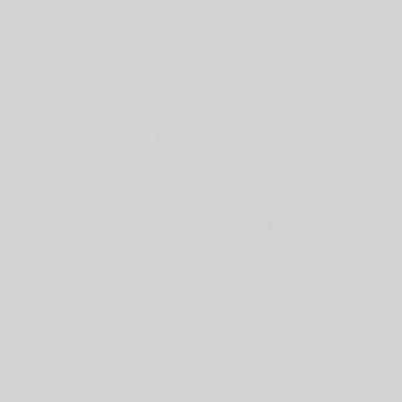 CC(C)(C)OC1C=CCCCCC1OC(C)(C)C